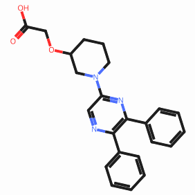 O=C(O)COC1CCCN(c2cnc(-c3ccccc3)c(-c3ccccc3)n2)C1